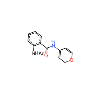 CC(=O)Nc1ccccc1C(=O)NC1=CCOC=C1